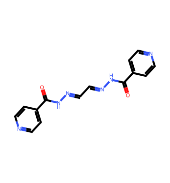 O=C(NN=CC=NNC(=O)c1ccncc1)c1ccncc1